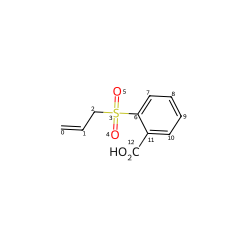 C=CCS(=O)(=O)c1ccccc1C(=O)O